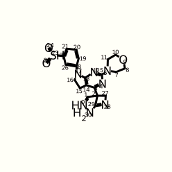 N=CC1(c2nc(N3CCOCC3)nc3c2CCN3c2cccc([SH](=O)=O)c2)CN=C1N